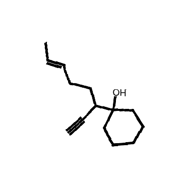 C#CC(CCC=CC)C1(O)CCCCC1